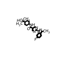 Cc1nn(-c2ncc(C(=O)NC3CCC(C(C)(C)O)CC3)cn2)c2cc(F)ccc12